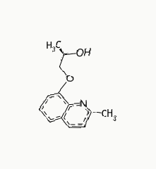 Cc1ccc2cccc(OC[C@@H](C)O)c2n1